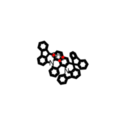 CC12c3ccccc3-c3cccc(c31)N(c1ccccc1-c1cccc3c1-n1c4ccccc4c4cccc(c41)C31c3ccccc3-c3ccccc31)c1ccccc12